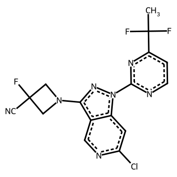 CC(F)(F)c1ccnc(-n2nc(N3CC(F)(C#N)C3)c3cnc(Cl)cc32)n1